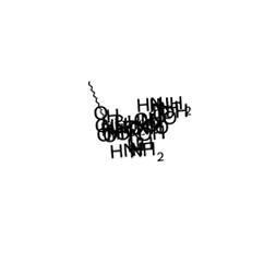 CCCCCCCCCCCOCCCC(=O)N[C@H](C(=O)N[C@H](C(=O)N[C@@H](Cc1ccccc1)C(=O)N[C@@H](CCCNC(=N)N)C(=O)N[C@@H](CO)C(=O)N[C@@H](CO)C(=O)N[C@@H](CCCNC(=N)N)C(=O)N[C@@H](CCC(=O)O)C(C)=O)C(C)C)[C@@H](C)O